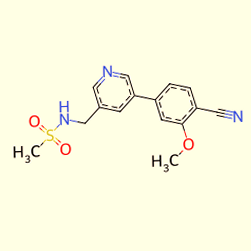 COc1cc(-c2cncc(CNS(C)(=O)=O)c2)ccc1C#N